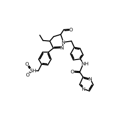 CCC1CC(C=O)N(Cc2ccc(NC(=O)c3cnccn3)cc2)N=C1c1ccc(C[SH](=O)=O)cc1